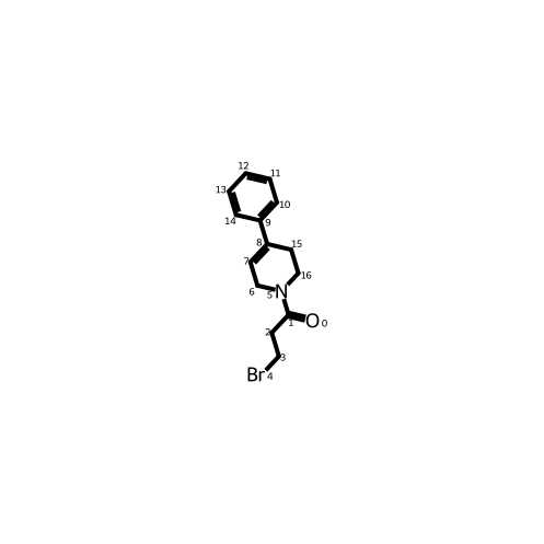 O=C(CCBr)N1CC=C(c2ccccc2)CC1